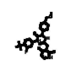 COCc1ccc(C(NC(=O)Cn2c(=O)cc[nH]c2=O)C(=O)Nc2ccc([Si](C)(C)C)c(F)c2)cc1